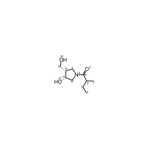 CCC(C)C(=O)N1C[C@@H](CO)[C@@H](O)C1